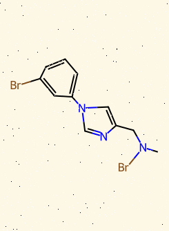 CN(Br)Cc1cn(-c2cccc(Br)c2)cn1